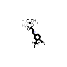 CC(C)(C)OC(=O)/C=C/c1ccc(C#N)c(C(F)(F)F)c1